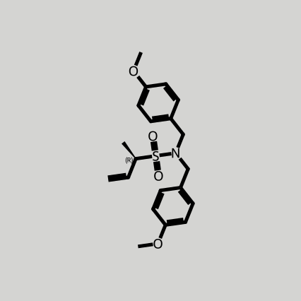 C=C[C@@H](C)S(=O)(=O)N(Cc1ccc(OC)cc1)Cc1ccc(OC)cc1